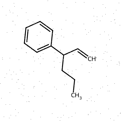 [CH]=CC(CCC)c1ccccc1